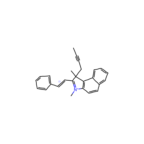 CC#CCC1(C)C(/C=C/c2ccccc2)=[N+](C)c2ccc3ccccc3c21